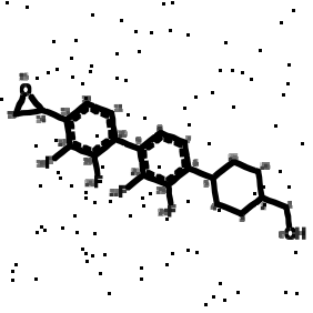 OCC1CCC(c2ccc(-c3ccc(C4CO4)c(F)c3F)c(F)c2F)CC1